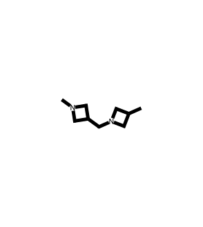 CC1CN(CC2CN(C)C2)C1